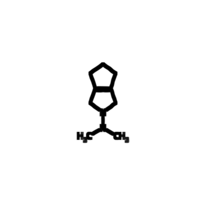 CN(C)N1CC2=C(CCC2)C1